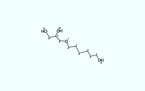 OCCCCCCOCC(O)CO